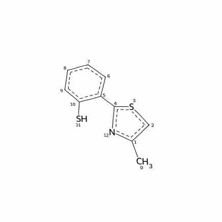 Cc1csc(-c2ccccc2S)n1